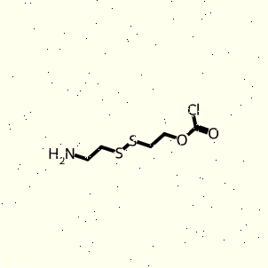 NCCSSCCOC(=O)Cl